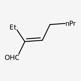 CCCC/C=C(/C=O)CC